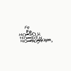 O=S(=O)(O)O.O=S(=O)(O)O.O=S(=O)(O)O.O=S(=O)(O)O.[BiH3].[Fe].[Fe]